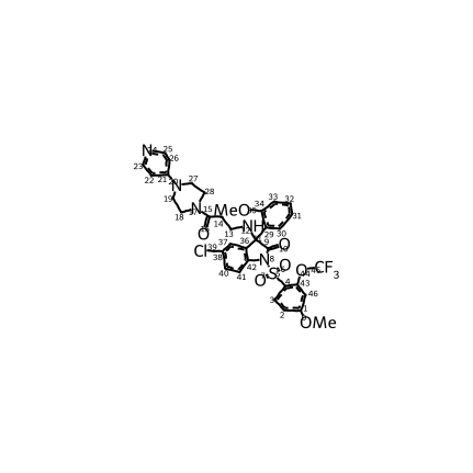 COc1ccc(S(=O)(=O)N2C(=O)C(NCCC(=O)N3CCN(c4ccncc4)CC3)(c3ccccc3OC)c3cc(Cl)ccc32)c(OC(F)(F)F)c1